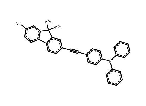 CCCC1(CCC)c2cc(C#N)ccc2-c2ccc(C#Cc3ccc(N(c4ccccc4)c4ccccc4)cc3)cc21